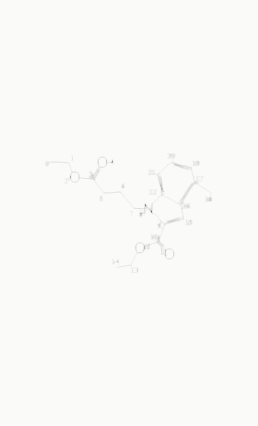 CCOC(=O)CCCn1c(C(=O)OCC)cc2c(C)cccc21